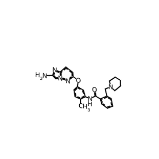 Cc1ccc(Oc2ccc3nc(N)cn3n2)cc1NC(=O)c1ccccc1CN1CCCCC1